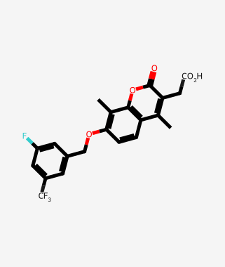 Cc1c(CC(=O)O)c(=O)oc2c(C)c(OCc3cc(F)cc(C(F)(F)F)c3)ccc12